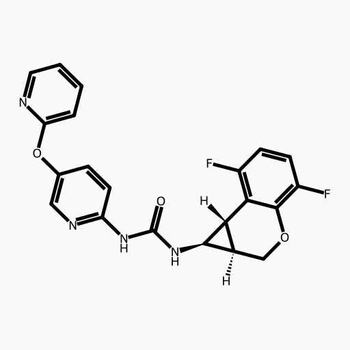 O=C(Nc1ccc(Oc2ccccn2)cn1)N[C@@H]1[C@@H]2COc3c(F)ccc(F)c3[C@H]21